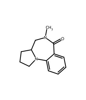 CN1CC2CCCN2c2ccccc2C1=O